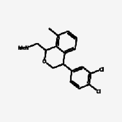 CNCC1OCC(c2ccc(Cl)c(Cl)c2)c2cccc(C)c21